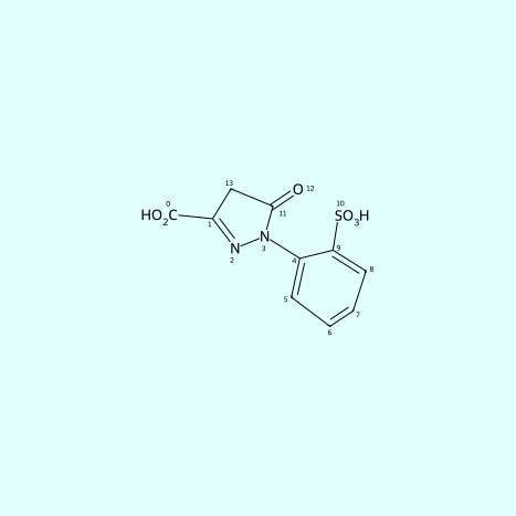 O=C(O)C1=NN(c2ccccc2S(=O)(=O)O)C(=O)C1